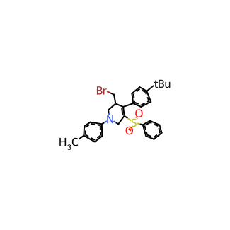 Cc1ccc(N2CC(S(=O)(=O)c3ccccc3)=C(c3ccc(C(C)(C)C)cc3)C(CBr)C2)cc1